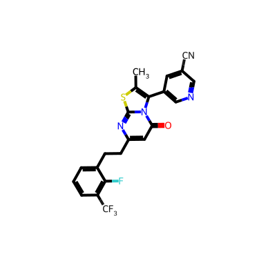 Cc1sc2nc(CCc3cccc(C(F)(F)F)c3F)cc(=O)n2c1-c1cncc(C#N)c1